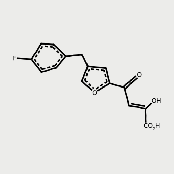 O=C(O)C(O)=CC(=O)c1cc(Cc2ccc(F)cc2)co1